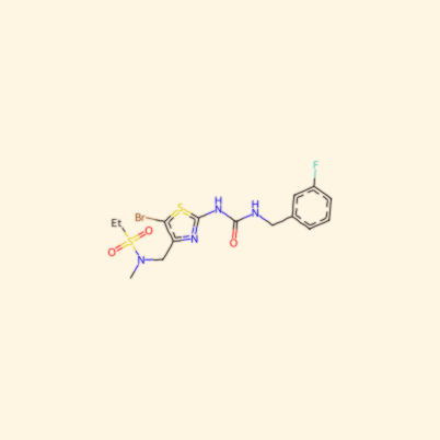 CCS(=O)(=O)N(C)Cc1nc(NC(=O)NCc2cccc(F)c2)sc1Br